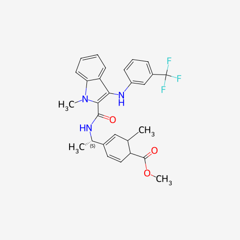 COC(=O)C1C=CC([C@H](C)NC(=O)c2c(Nc3cccc(C(F)(F)F)c3)c3ccccc3n2C)=CC1C